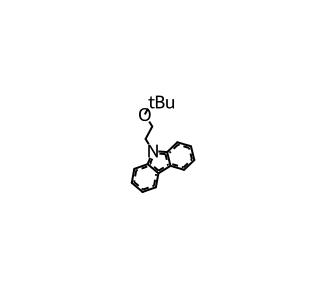 CC(C)(C)OCCn1c2ccccc2c2ccccc21